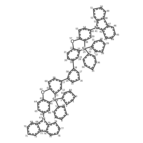 c1ccc([Si]2(c3ccccc3)c3cc(-c4cccc(-c5ccc6c(c5)[Si](c5ccccc5)(c5ccccc5)c5cc(-n7c8ccccc8c8ccccc87)ccc5O6)c4)ccc3Oc3ccc(-n4c5ccccc5c5ccccc54)cc32)cc1